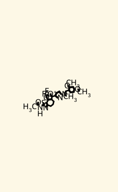 COc1ccc(CN(C)c2ccc(C3=[O+][B-](F)(F)OC4=C3CCCc3nc(NC(C)=O)sc34)cn2)c(OC)c1